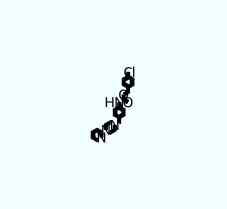 O=C(Nc1ccc(CN2CCN(c3ccccn3)CC2)cc1)OCc1ccc(Cl)cc1